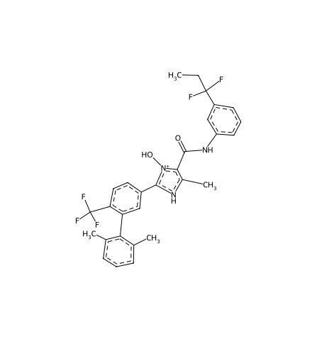 CCC(F)(F)c1cccc(NC(=O)c2c(C)[nH]c(-c3ccc(C(F)(F)F)c(-c4c(C)cccc4C)c3)[n+]2O)c1